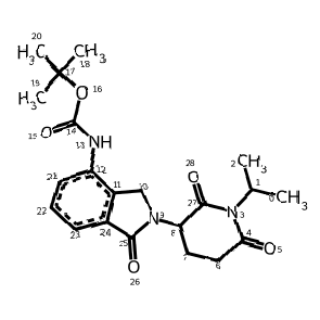 CC(C)N1C(=O)CCC(N2Cc3c(NC(=O)OC(C)(C)C)cccc3C2=O)C1=O